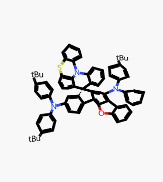 CC(C)(C)c1ccc(N(c2ccc(C(C)(C)C)cc2)c2ccc3c(c2)[C@]2(c4ccccc4N4c5ccccc5Sc5cccc2c54)c2cc(N(c4ccccc4)c4ccc(C(C)(C)C)cc4)c4c(oc5ccccc54)c2-3)cc1